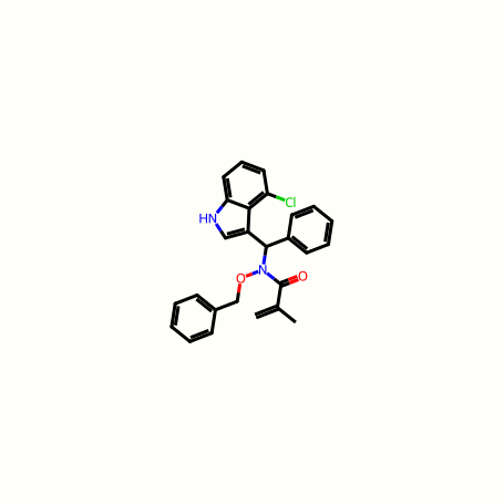 C=C(C)C(=O)N(OCc1ccccc1)C(c1ccccc1)c1c[nH]c2cccc(Cl)c12